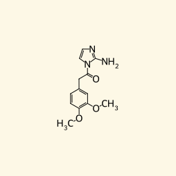 COc1ccc(CC(=O)n2ccnc2N)cc1OC